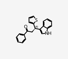 O=C(C[C@@H](c1cccs1)c1c[nH]c2ccccc12)c1ccccc1